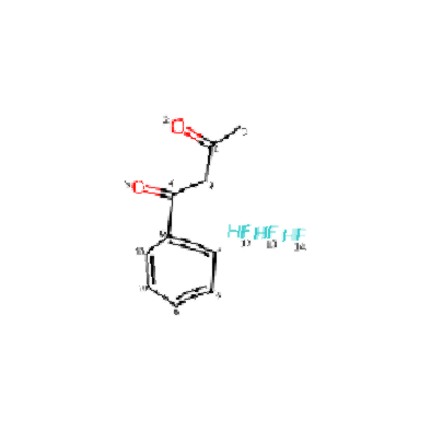 CC(=O)CC(=O)c1ccccc1.F.F.F